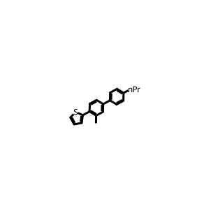 CCCc1ccc(-c2ccc(-c3cccs3)c(C)c2)cc1